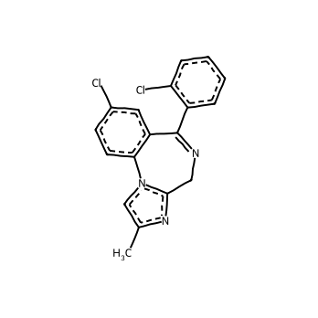 Cc1cn2c(n1)CN=C(c1ccccc1Cl)c1cc(Cl)ccc1-2